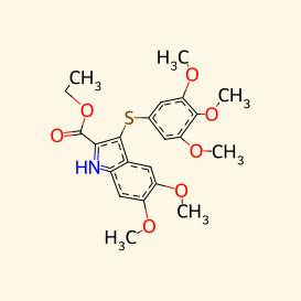 CCOC(=O)c1[nH]c2cc(OC)c(OC)cc2c1Sc1cc(OC)c(OC)c(OC)c1